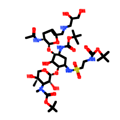 CC(=O)N[C@@H]1CC=C(CNCC(O)CO)O[C@@H]1O[C@H]1[C@H](O)[C@@H](O[C@H]2OC[C@](C)(O)[C@H](N(C)C(=O)OC(C)(C)C)[C@H]2O)[C@H](NS(=O)(=O)CCNC(=O)OC(C)(C)C)C[C@@H]1NC(=O)OC(C)(C)C